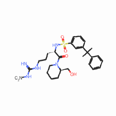 CC(C)(c1ccccc1)c1cccc(S(=O)(=O)N[C@@H](CCCNC(=N)N[N+](=O)[O-])C(=O)N2CCCC[C@@H]2CO)c1